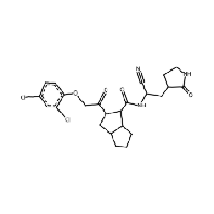 N#CC(CC1CCNC1=O)NC(=O)C1C2CCCC2CN1C(=O)COc1ccc(Cl)cc1Cl